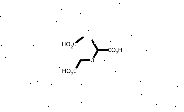 CC(=O)O.CC(OCC(=O)O)C(=O)O